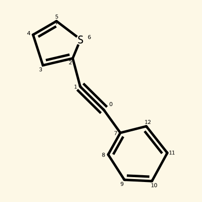 C(#Cc1cc[c]s1)c1ccccc1